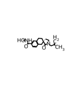 C=C(C)CN1CC[C@]2(CCc3cc(C(=O)NO)ccc3C2)C1=O